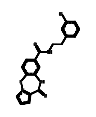 O=C(NCCc1cccc(Cl)c1)c1ccc2c(c1)NC(=O)c1cccn1S2